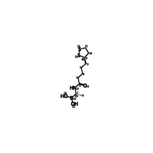 C[C@@H](NC(=O)CCCC[C@@H]1CCSS1)B(O)O